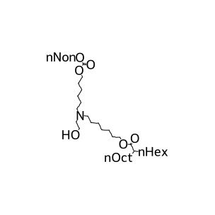 CCCCCCCCCOC(=O)OCCCCCCN(CCO)CCCCCCCOC(=O)C(CCCCCC)CCCCCCCC